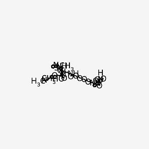 Cc1cc(N(CCCCNC(=O)CCOCCOCCOCCOCCNc2cccc3c2C(=O)N(C2CCC(=O)NC2=O)C3=O)c2nc(C(=O)O)c(CCCOc3ccc(C#CCN(C)C)cc3F)s2)nnc1Nc1nc2ccccc2s1